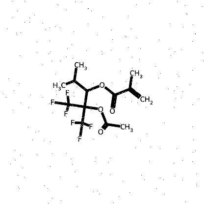 C=C(C)C(=O)OC(C(C)C)C(OC(C)=O)(C(F)(F)F)C(F)(F)F